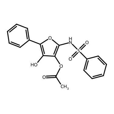 CC(=O)Oc1c(NS(=O)(=O)c2ccccc2)oc(-c2ccccc2)c1O